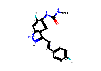 CCCCNC(=O)Nc1cc2c(/C=C/c3ccc(F)cc3)n[nH]c2cc1F